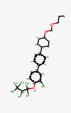 CCCOCOC1CCC(c2ccc(-c3ccc(OC(F)(F)C(F)C(F)(F)F)c(F)c3)cc2)CC1